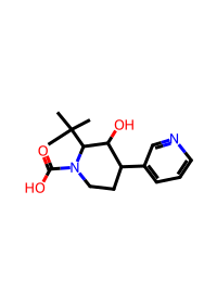 CC(C)(C)C1C(O)C(c2cccnc2)CCN1C(=O)O